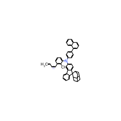 C=C/C=C\c1cccc(N(c2ccc(-c3cccc4ccccc34)cc2)c2ccc3c(c2)-c2ccccc2C32C3CC4CC(C3)CC2C4)c1C